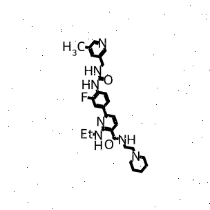 CCNc1nc(-c2ccc(NC(=O)NCc3cncc(C)c3)c(F)c2)ccc1C(=O)NCCN1CCCCC1